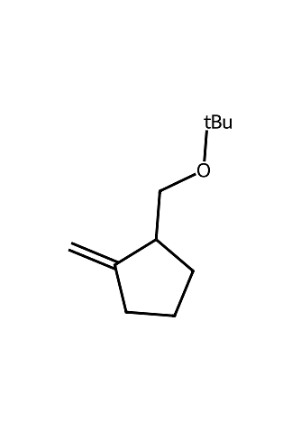 C=C1CCCC1COC(C)(C)C